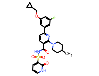 CC1CCN(c2nc(-c3cc(F)cc(OCC4CC4)c3)ccc2C(=O)NS(=O)(=O)c2ccc[nH]c2=O)CC1